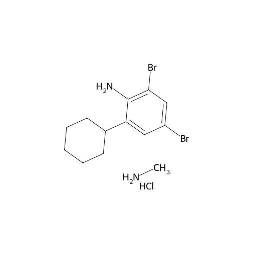 CN.Cl.Nc1c(Br)cc(Br)cc1C1CCCCC1